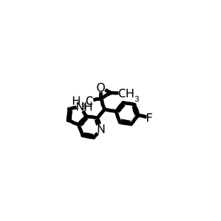 CC1OC1(C)C(c1ccc(F)cc1)c1nccc2cc[nH]c12